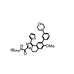 COc1cc2c(cc1-c1cccc(N3CCOCC3)c1)-c1c(-c3cccs3)nc(C(=O)NCC(C)(C)C)n1CC2